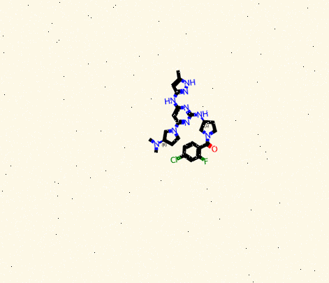 Cc1cc(Nc2cc(N3CC[C@@H](N(C)C)C3)nc(N[C@H]3CCN(C(=O)c4ccc(Cl)cc4F)C3)n2)n[nH]1